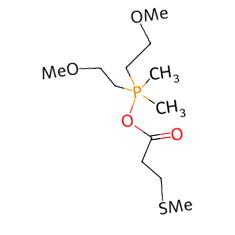 COCCP(C)(C)(CCOC)OC(=O)CCSC